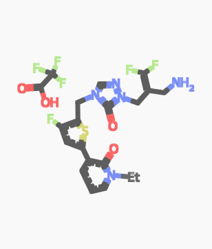 CCn1cccc(-c2cc(F)c(Cn3cnn(CC(CN)=C(F)F)c3=O)s2)c1=O.O=C(O)C(F)(F)F